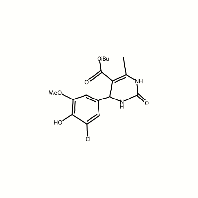 COc1cc(C2NC(=O)NC(C)=C2C(=O)OCC(C)C)cc(Cl)c1O